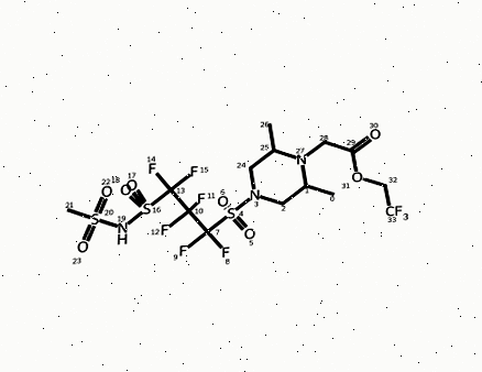 CC1CN(S(=O)(=O)C(F)(F)C(F)(F)C(F)(F)S(=O)(=O)NS(C)(=O)=O)CC(C)N1CC(=O)OCC(F)(F)F